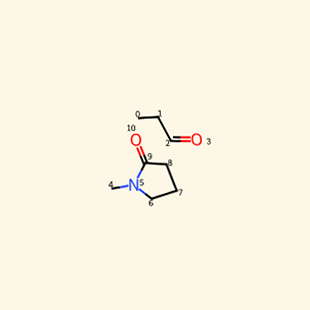 CCC=O.CN1CCCC1=O